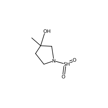 CC1(O)CCN([SH](=O)=O)C1